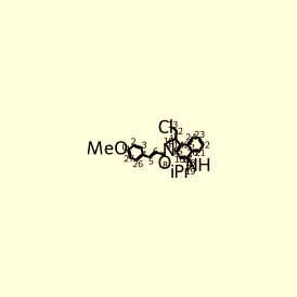 COc1ccc(/C=C/C(=O)N2CC(CCl)c3c2cc(NC(C)C)c2ccccc32)cc1